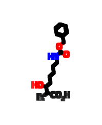 CCC(C(=O)O)C(O)CCCCCNC(=O)OCc1ccccc1